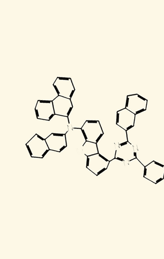 c1ccc(-c2nc(-c3ccc4ccccc4c3)nc(-c3cccc4oc5c(N(c6ccc7ccccc7c6)c6cc7ccccc7c7ccccc67)cccc5c34)n2)cc1